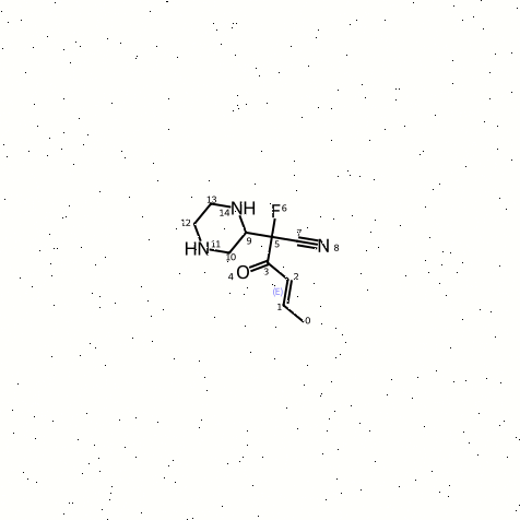 C/C=C/C(=O)C(F)(C#N)C1CNCCN1